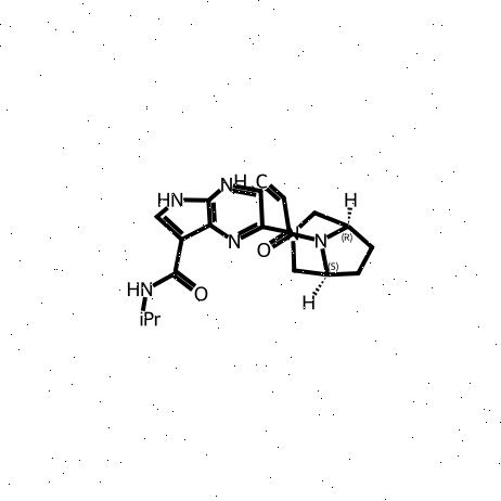 C=CC(=O)N1[C@@H]2CC[C@H]1CN(c1cnc3[nH]cc(C(=O)NC(C)C)c3n1)C2